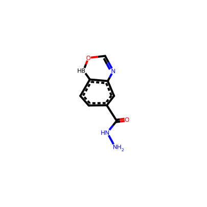 NNC(=O)c1ccc2c(c1)N=COB2